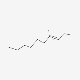 CC/C=C(\C)[CH]CCCCC